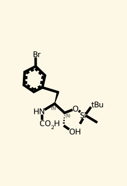 CC(C)(C)[Si](C)(C)O[C@H](CO)[C@H](Cc1cccc(Br)c1)NC(=O)O